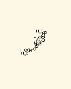 Cc1cccc(Cn2nc(C)c3c(NC(=O)c4cnc5cc(OCCN6CCN(C)C(C)C6)ccn45)cccc32)n1